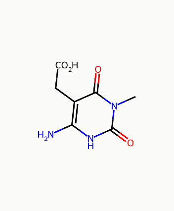 Cn1c(=O)[nH]c(N)c(CC(=O)O)c1=O